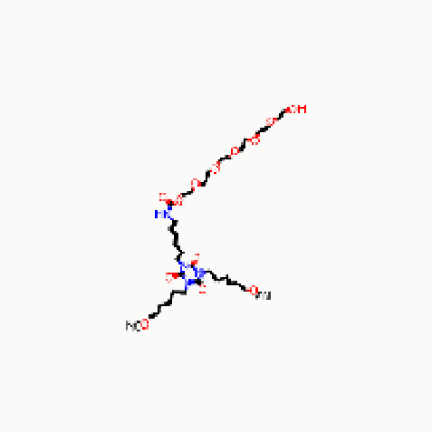 N#COCCCCCCn1c(=O)n(CCCCCCNC(=O)OCCOCCOCCOCCOCCOCCO)c(=O)n(CCCCCCOC#N)c1=O